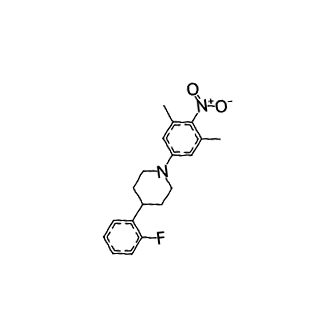 Cc1cc(N2CCC(c3ccccc3F)CC2)cc(C)c1[N+](=O)[O-]